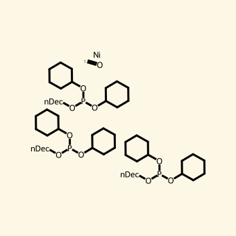 CCCCCCCCCCOP(OC1CCCCC1)OC1CCCCC1.CCCCCCCCCCOP(OC1CCCCC1)OC1CCCCC1.CCCCCCCCCCOP(OC1CCCCC1)OC1CCCCC1.[C]=O.[Ni]